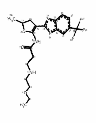 CCOCCNCCC(=O)NC1=C(c2nc3cc(C(F)(F)F)ccc3s2)CC(C)S1